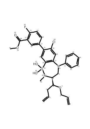 C=CCOC(CC=C)[C@@H]1CN(c2ccccc2)c2cc(Cl)c(-c3ccc(F)c(C(=O)OC)c3)cc2S(O)(O)N1C